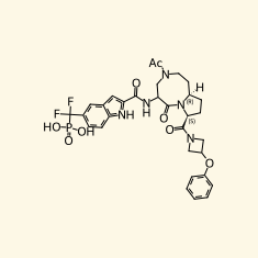 CC(=O)N1CC[C@H]2CC[C@@H](C(=O)N3CC(Oc4ccccc4)C3)N2C(=O)C(NC(=O)c2cc3cc(C(F)(F)P(=O)(O)O)ccc3[nH]2)C1